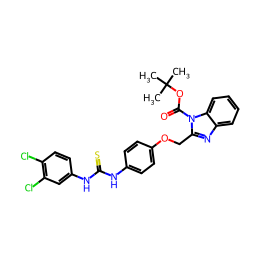 CC(C)(C)OC(=O)n1c(COc2ccc(NC(=S)Nc3ccc(Cl)c(Cl)c3)cc2)nc2ccccc21